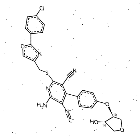 [C-]#[N+]c1c(N)nc(SCc2coc(-c3ccc(Cl)cc3)n2)c(C#N)c1-c1ccc(O[C@H]2COC[C@@H]2O)cc1